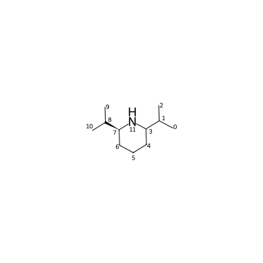 CC(C)C1CCC[C@@H](C(C)C)N1